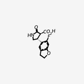 O=C(O)[C@@H]1C(=O)NC[C@H]1c1cc2c(cc1F)OCC2